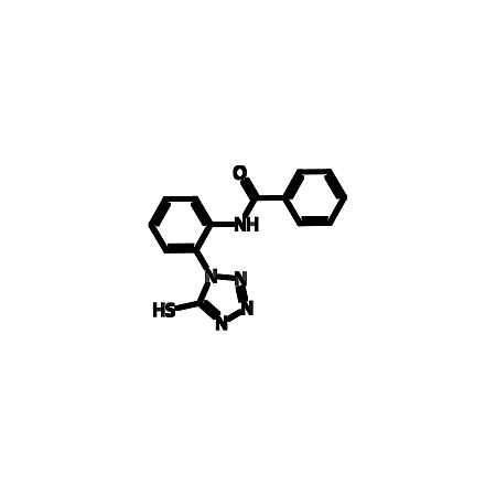 O=C(Nc1ccccc1-n1nnnc1S)c1ccccc1